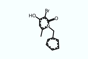 Cc1cc(O)c(Br)c(=O)n1Cc1ccccc1